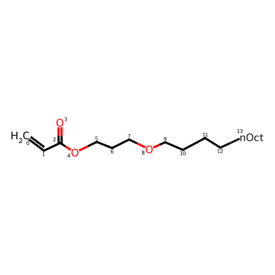 C=CC(=O)OCCCOCCCCCCCCCCCC